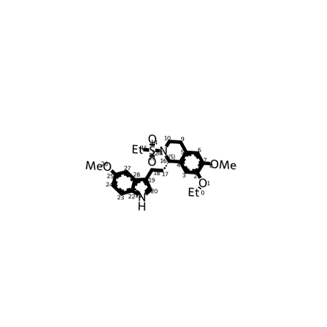 CCOc1cc2c(cc1OC)CCN(S(=O)(=O)CC)[C@H]2CCc1c[nH]c2ccc(OC)cc12